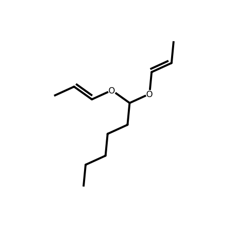 CC=COC(CCCCC)OC=CC